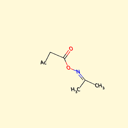 CC(=O)CC(=O)ON=C(C)C